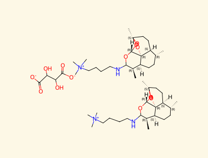 C[C@@H]1CC[C@H]2[C@@H](C)C(NCCCC[N+](C)(C)C)O[C@@H]3O[C@]4(C)CC[C@@H]1[C@]32OO4.C[C@@H]1CC[C@H]2[C@@H](C)C(NCCCC[N+](C)(C)C)O[C@@H]3O[C@]4(C)CC[C@@H]1[C@]32OO4.O=C([O-])C(O)C(O)C(=O)[O-]